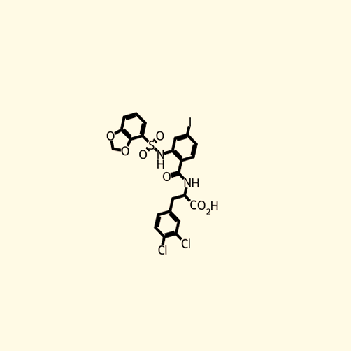 O=C(NC(Cc1ccc(Cl)c(Cl)c1)C(=O)O)c1ccc(I)cc1NS(=O)(=O)c1cccc2c1OCO2